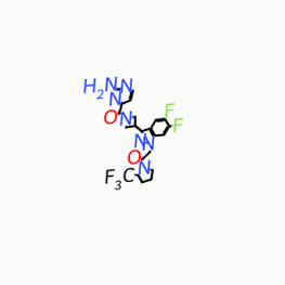 Nc1nccc(C(=O)N2CC(c3nn(CC(=O)N4CCC[C@H]4C(F)(F)F)c4cc(F)c(F)cc34)C2)n1